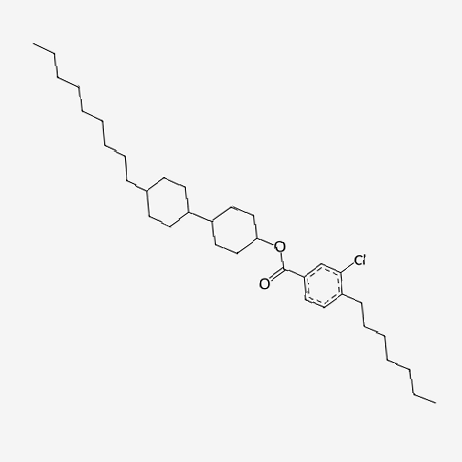 CCCCCCCCCC1CCC(C2CCC(OC(=O)c3ccc(CCCCCCC)c(Cl)c3)CC2)CC1